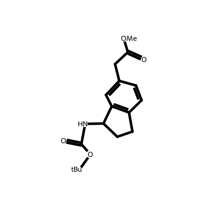 COC(=O)Cc1ccc2c(c1)C(NC(=O)OC(C)(C)C)CC2